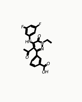 CCn1nc(-c2cccc(C(=O)O)c2)c(C(C)=O)c(Nc2cc(F)cc(F)c2)c1=O